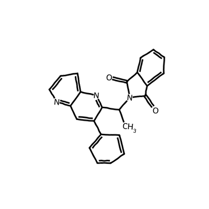 CC(c1nc2cccnc2cc1-c1ccccc1)N1C(=O)c2ccccc2C1=O